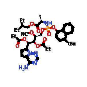 CCC(=O)O[C@H]([C@@H](COP(=O)(N[C@@H](C)C(=O)OCC(CC)CC)Oc1ccc(C(C)(C)C)c2ccccc12)OC#N)[C@@H](OC(=O)CC)c1ccc2c(N)ncnn12